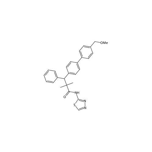 COCc1ccc(-c2ccc(C(c3ccccc3)C(C)(C)C(=O)Nc3nncs3)cc2)cc1